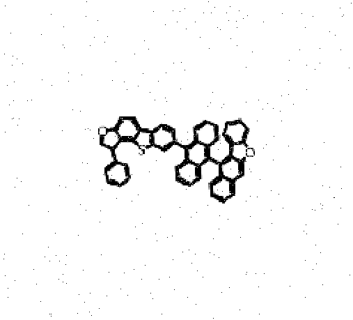 c1ccc(C2COc3ccc4c(sc5cc(-c6c7ccccc7c(-c7c8ccccc8cc8oc9ccccc9c78)c7ccccc67)ccc54)c32)cc1